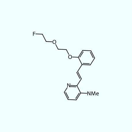 CNc1cccnc1C=Cc1ccccc1OCCOCCF